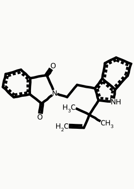 C=CC(C)(C)c1[nH]c2ccccc2c1CCN1C(=O)c2ccccc2C1=O